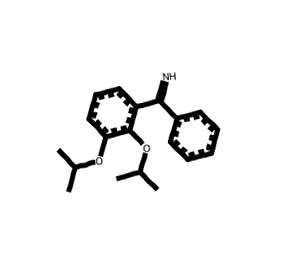 CC(C)Oc1cccc(C(=N)c2ccccc2)c1OC(C)C